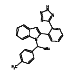 CCCCC(c1ccc(C(F)(F)F)cc1)n1c(-c2ccccc2-c2nn[nH]n2)cc2ccccc21